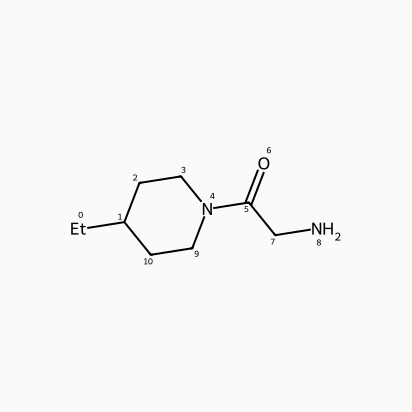 CCC1CCN(C(=O)CN)CC1